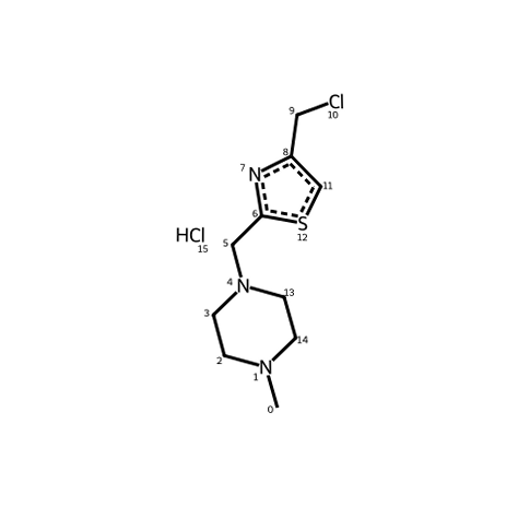 CN1CCN(Cc2nc(CCl)cs2)CC1.Cl